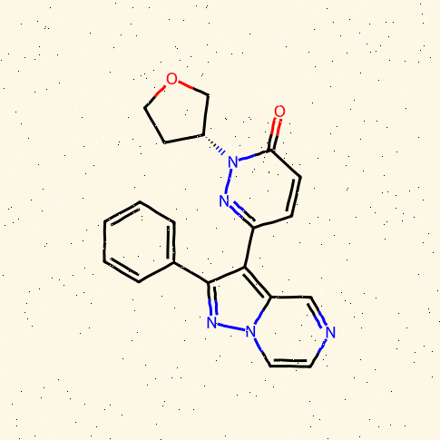 O=c1ccc(-c2c(-c3ccccc3)nn3ccncc23)nn1[C@@H]1CCOC1